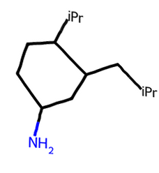 CC(C)CC1CC(N)CCC1C(C)C